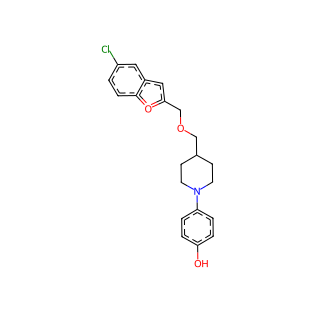 Oc1ccc(N2CCC(COCc3cc4cc(Cl)ccc4o3)CC2)cc1